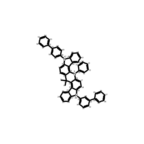 CC1(C)c2ccc3c(c2N(c2ccccc2)c2ccc4c(c21)c1ccccc1n4-c1cccc(-c2ccccc2)c1)c1ccccc1n3-c1ccc(-c2ccccc2)cc1